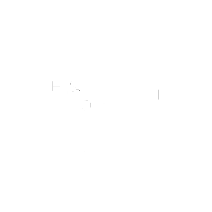 [SiH3]OC(CCI)(CCc1ccccc1)CCc1ccccc1